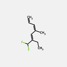 C=C/C=C(C)\C=C(/CC)C(F)F